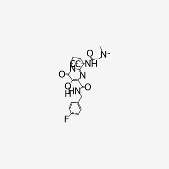 CN(C)CC(=O)NC12CCC(CC1)n1c2nc(C(=O)NCc2ccc(F)cc2)c(O)c1=O